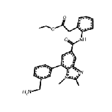 CCOC(=O)Cc1ccccc1NC(=O)c1cc(-c2cccc(CN)c2)c2c(c1)nc(C)n2C